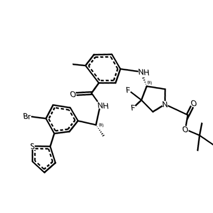 Cc1ccc(N[C@@H]2CN(C(=O)OC(C)(C)C)CC2(F)F)cc1C(=O)N[C@H](C)c1ccc(Br)c(-c2cccs2)c1